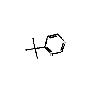 CC(C)(C)c1c[c]ncn1